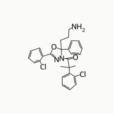 CC(C)(C(=O)N1N=C(c2ccccc2Cl)OC1(CCCN)c1ccccc1)c1ccccc1Cl